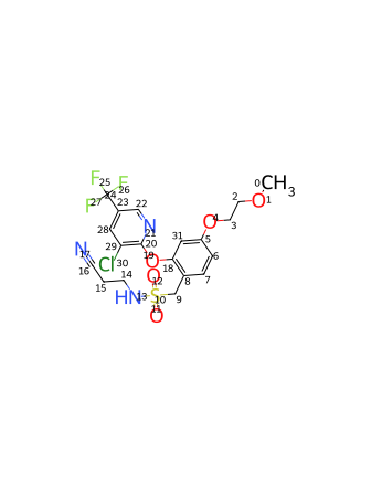 COCCOc1ccc(CS(=O)(=O)NCCC#N)c(Oc2ncc(C(F)(F)F)cc2Cl)c1